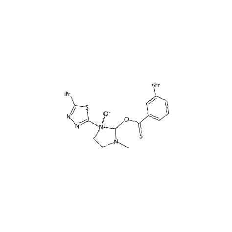 CCCc1cccc(C(=S)OC2N(C)CC[N+]2([O-])c2nnc(C(C)C)s2)c1